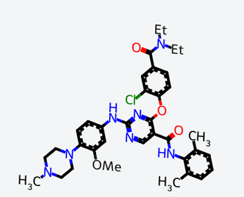 CCN(CC)C(=O)c1ccc(Oc2nc(Nc3ccc(N4CCN(C)CC4)c(OC)c3)ncc2C(=O)Nc2c(C)cccc2C)c(Cl)c1